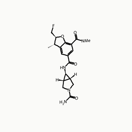 CNC(=O)c1cc(C(=O)N[C@H]2[C@@H]3CN(C(N)=O)C[C@@H]32)cc2c1O[C@H](CF)[C@H]2C